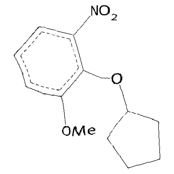 COc1cccc([N+](=O)[O-])c1OC1CCCC1